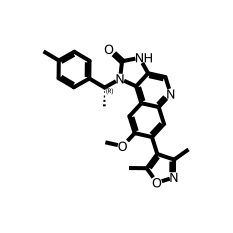 COc1cc2c(cc1-c1c(C)noc1C)ncc1[nH]c(=O)n([C@H](C)c3ccc(C)cc3)c12